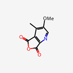 COc1cnc2c(c1C)C(=O)OC2=O